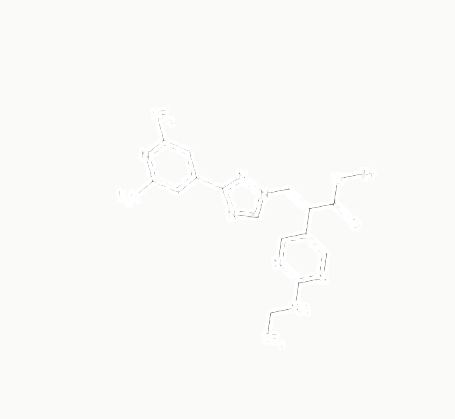 CC(C)OC(=O)/C(=C/n1cnc(-c2cc(C(F)(F)F)nc(C(F)(F)F)c2)n1)c1cnc(NCC(F)(F)F)nc1